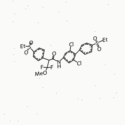 CCS(=O)(=O)c1ccc(-c2c(Cl)cc(NC(=O)C(c3ccc(S(=O)(=O)CC)cc3)C(F)(F)OC)cc2Cl)cc1